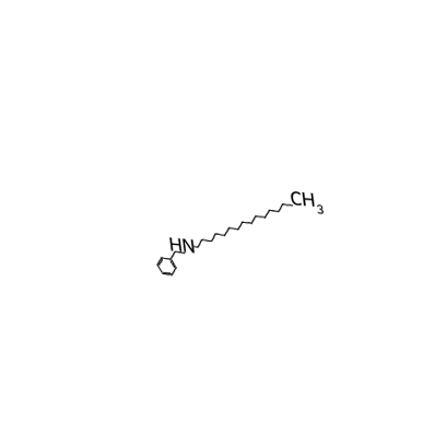 CCCCCCCCCCCCCCCCNCCc1ccccc1